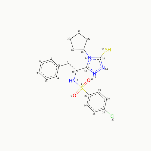 O=S(=O)(N[C@H](Cc1ccccc1)c1nnc(S)n1C1CCCC1)c1ccc(Cl)cc1